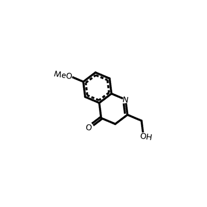 COc1ccc2c(c1)C(=O)CC(CO)=N2